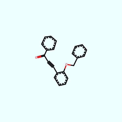 O=C(C#Cc1ccccc1OCc1ccccc1)c1ccccc1